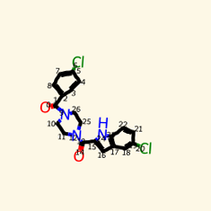 O=C(c1ccc(Cl)cc1)N1CCN(C(=O)c2cc3cc(Cl)ccc3[nH]2)CC1